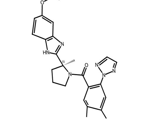 Cc1cc(C(=O)N2CCC[C@@]2(C)c2nc3cc(OC(F)(F)F)ccc3[nH]2)c(-n2nccn2)cc1C